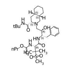 CCCOC(=O)N[C@H](C(=O)N[C@@H](Cc1ccccc1)[C@H](O)CN1C[C@H]2CCCC[C@H]2C[C@H]1C(=O)NC(C)(C)C)C(C)(C)S(C)(=O)=O